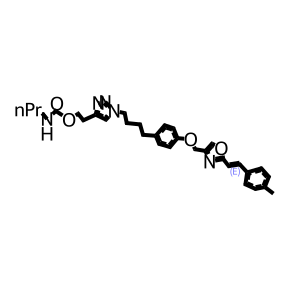 CCCNC(=O)OCCc1cn(CCCCc2ccc(OCc3coc(/C=C/c4ccc(C)cc4)n3)cc2)nn1